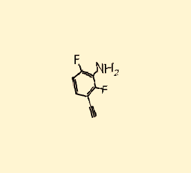 C#Cc1ccc(F)c(N)c1F